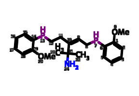 COc1ccccc1PCC=C(CCPc1ccccc1OC)C(C)(C)N